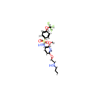 CCCNCCOc1ccc(NS(=O)(=O)c2ccc(OC(F)(F)F)cc2)c(OC)n1